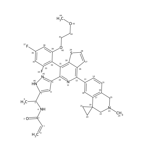 C=CC(=O)NC(C)c1cc(-c2nc(-c3ccc4c(c3)C3(CC3)CN(C)C4)c3ccsc3c2-c2c(F)cc(F)cc2OCCOC)n[nH]1